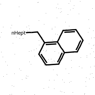 CCCCCCCCc1c[c]cc2ccccc12